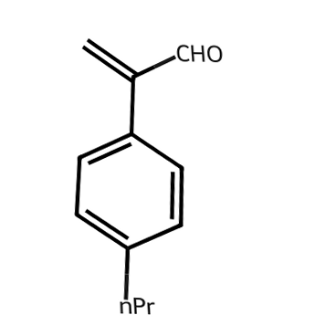 C=C(C=O)c1ccc(CCC)cc1